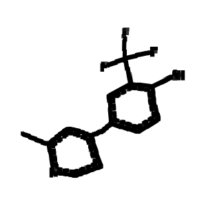 Cc1cc(-c2ccc(S)c(C(F)(F)F)c2)ccn1